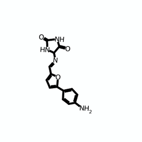 Nc1ccc(-c2ccc(C=NC3NC(=O)NC3=O)o2)cc1